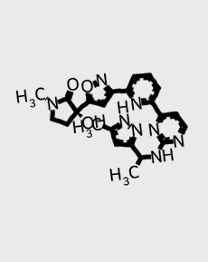 Cc1cc(C(C)Nc2nccc(-c3cccc(-c4cc([C@]5(O)CCN(C)C5=O)on4)n3)n2)n[nH]1